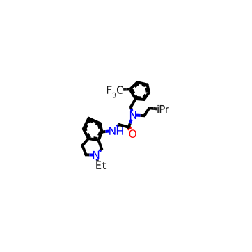 CCN1CCc2cccc(NCC(=O)N(CCC(C)C)Cc3ccccc3C(F)(F)F)c2C1